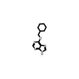 c1nc(OCC2CCCCC2)c2nc[nH]c2n1